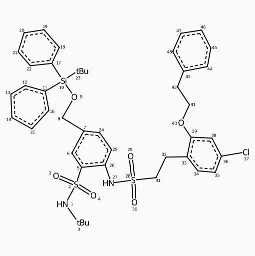 CC(C)(C)NS(=O)(=O)c1cc(CO[Si](c2ccccc2)(c2ccccc2)C(C)(C)C)ccc1NS(=O)(=O)CCc1ccc(Cl)cc1OCCc1ccccc1